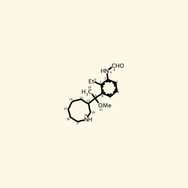 CCc1c(NC=O)cccc1C(C)(OC)C1CCCCCNC1